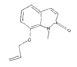 C=CCOc1cccc2ccc(=O)n(C)c12